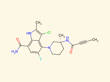 CC#CC(=O)N[C@@]1(C)CCCN(c2c(F)cc(C(N)=O)c3[nH]c(C)c(Cl)c23)C1